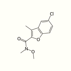 CON(C)C(=O)c1oc2ccc(Cl)cc2c1C